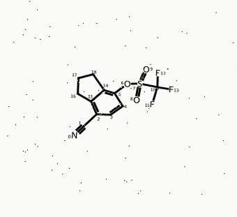 N#Cc1ccc(OS(=O)(=O)C(F)(F)F)c2c1CCC2